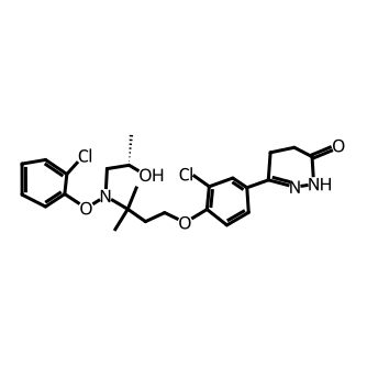 C[C@H](O)CN(Oc1ccccc1Cl)C(C)(C)CCOc1ccc(C2=NNC(=O)CC2)cc1Cl